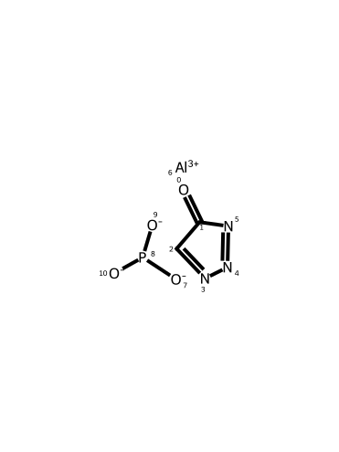 O=C1C=NN=N1.[Al+3].[O-]P([O-])[O-]